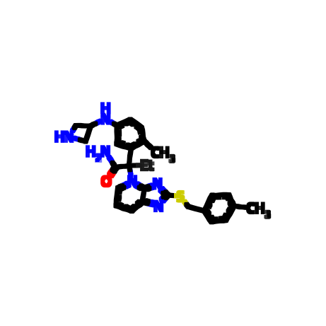 CCC(C(N)=O)(c1cc(NC2CNC2)ccc1C)n1cccc2nc(SCc3ccc(C)cc3)nc1-2